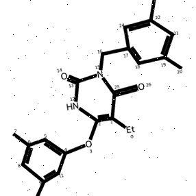 CCc1c(Oc2cc(C)cc(C)c2)[nH]c(=O)n(Cc2cc(C)cc(C)c2)c1=O